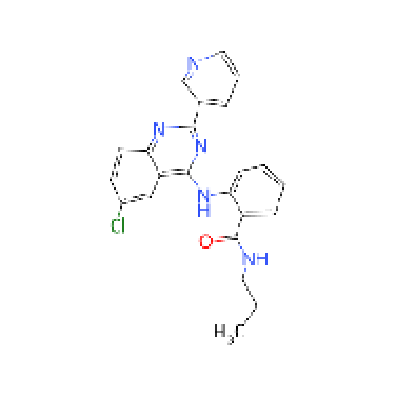 CCCNC(=O)c1ccccc1Nc1nc(-c2cccnc2)nc2ccc(Cl)cc12